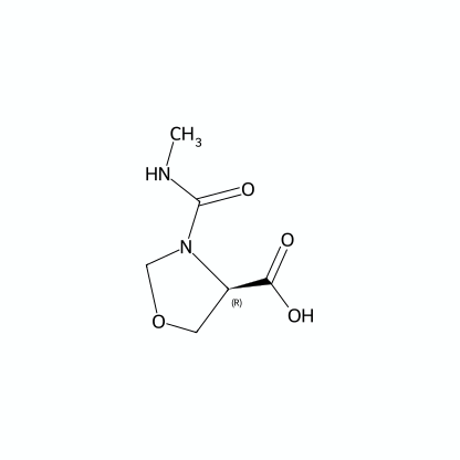 CNC(=O)N1COC[C@@H]1C(=O)O